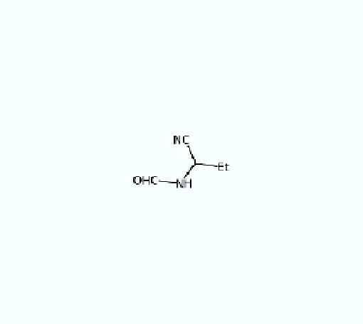 CCC(C#N)NC=O